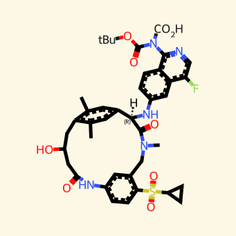 Cc1cc2cc(C)c1CC(O)CC(=O)Nc1ccc(S(=O)(=O)C3CC3)c(c1)CN(C)C(=O)[C@@H]2Nc1ccc2c(N(C(=O)O)C(=O)OC(C)(C)C)ncc(F)c2c1